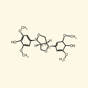 COC1=CC([C@H]2OC[C@H]3[C@@H]2CO[C@@H]3c2cc(OC)c(O)c(OC)c2)=CC(OC)C1O